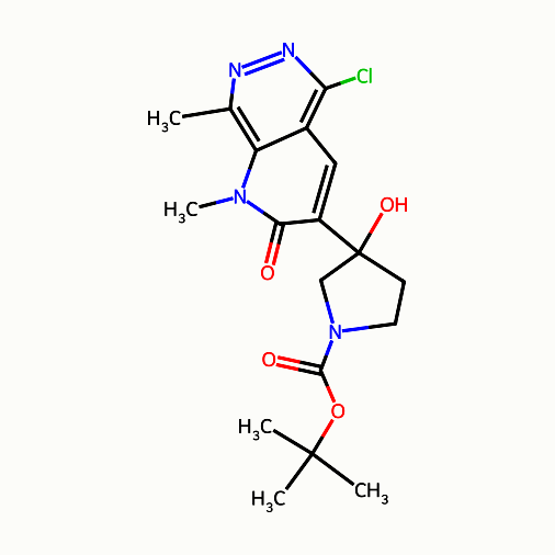 Cc1nnc(Cl)c2cc(C3(O)CCN(C(=O)OC(C)(C)C)C3)c(=O)n(C)c12